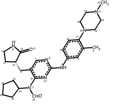 Cc1cc(Nc2ncc(C[C@@H]3CCNC3=O)c(N(C=O)C3CCCC3)n2)ccc1N1CCN(C)CC1